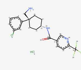 Cl.NC[C@]1(c2cccc(Cl)c2)CC[C@@H](NC(=O)c2ccc(C(F)(F)F)nc2)CC1